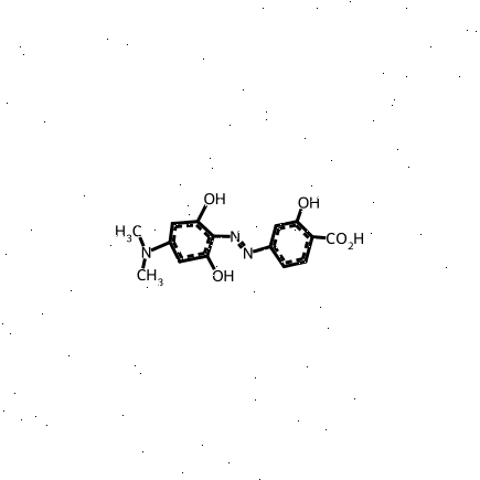 CN(C)c1cc(O)c(N=Nc2ccc(C(=O)O)c(O)c2)c(O)c1